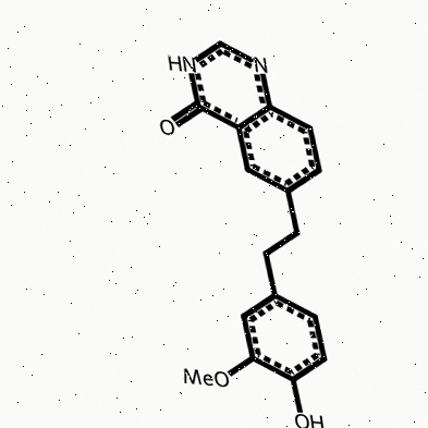 COc1cc(CCc2ccc3nc[nH]c(=O)c3c2)ccc1O